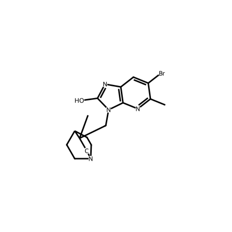 Cc1nc2c(cc1Br)nc(O)n2CC1(C)CN2CCC1CC2